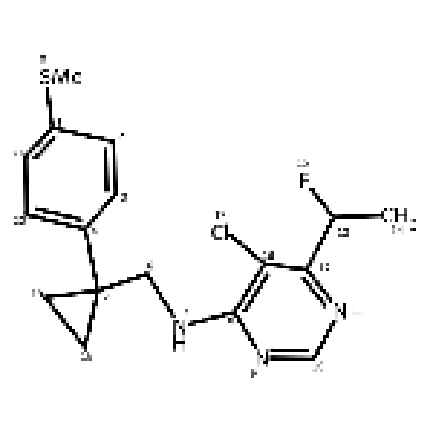 CSc1ccc(C2(CNc3ncnc(C(C)F)c3Cl)CC2)cc1